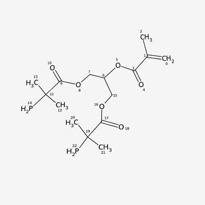 C=C(C)C(=O)OC(COC(=O)C(C)(C)P)COC(=O)C(C)(C)P